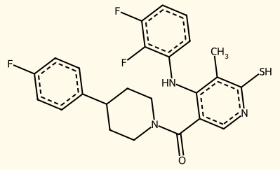 Cc1c(S)ncc(C(=O)N2CCC(c3ccc(F)cc3)CC2)c1Nc1cccc(F)c1F